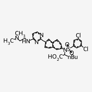 CCCCC(C(=O)O)N(c1ccc2cc(-c3nccc(NCCN(C)C)n3)ccc2c1)S(=O)(=O)c1cc(Cl)cc(Cl)c1